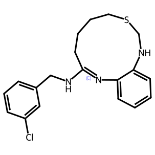 Clc1cccc(CN/C2=N/c3ccccc3NCSCCCC2)c1